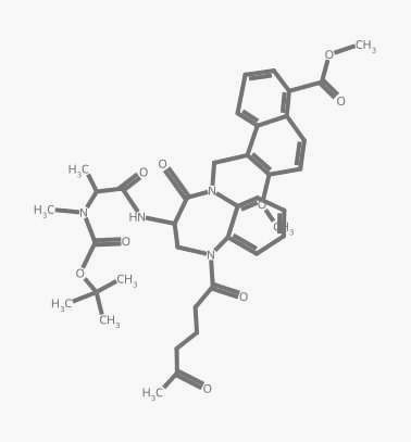 COC(=O)c1cccc2c(CN3C(=O)C(NC(=O)C(C)N(C)C(=O)OC(C)(C)C)CN(C(=O)CCCC(C)=O)c4ccccc43)c(OC)ccc12